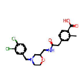 Cc1cc(CC(=O)NCC2CN(Cc3ccc(Cl)c(Cl)c3)CCO2)ccc1C(=O)O